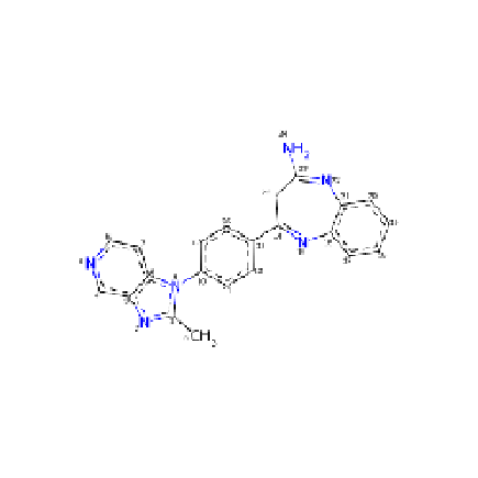 Cc1nc2cnccc2n1-c1ccc(C2=Nc3ccccc3N=C(N)C2)cc1